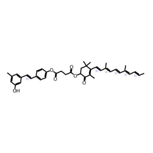 C/C=C/C=C(C)/C=C/C=C(C)/C=C/C1=C(C)C(=O)C(OC(=O)CCC(=O)Oc2ccc(/C=C/c3cc(C)cc(O)c3)cc2)CC1(C)C